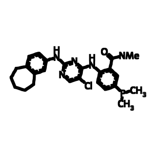 CNC(=O)c1cc(P(C)C)ccc1Nc1nc(Nc2ccc3c(c2)CCCCC3)ncc1Cl